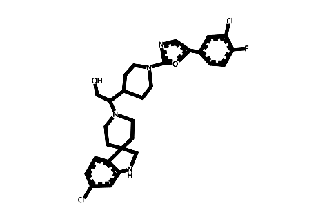 OCC(C1CCN(c2ncc(-c3ccc(F)c(Cl)c3)o2)CC1)N1CCC2(CC1)CNc1cc(Cl)ccc12